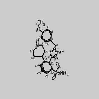 COc1ccc(Cn2nnc(-c3c(C4CCNCC4)cccc3S(N)(=O)=O)n2)cc1